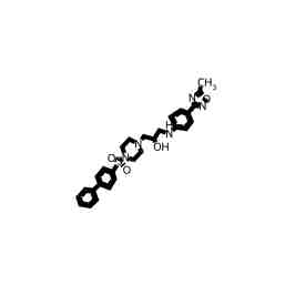 Cc1nc(-c2ccc(NCC(O)CN3CCN(S(=O)(=O)c4ccc(-c5ccccc5)cc4)CC3)cc2)no1